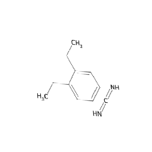 CCc1ccccc1CC.N=C=N